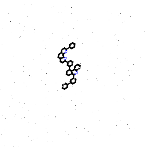 c1ccc(-c2cccc(-c3nc4ccccc4c4c(-c5cccc(-c6ccc7ccc8ccc(-c9ccccc9)nc8c7n6)c5)cccc34)c2)cc1